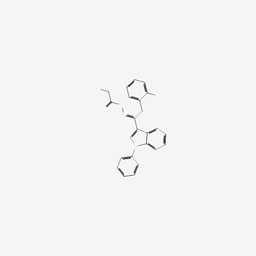 CCC(=O)O/N=C(\Cc1ccccc1C)c1cn(-c2ccccc2)c2ccccc12